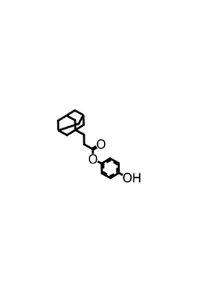 O=C(CCC12CC3CC(CC(C3)C1)C2)Oc1ccc(O)cc1